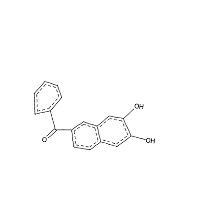 O=C(c1ccccc1)c1ccc2cc(O)c(O)cc2c1